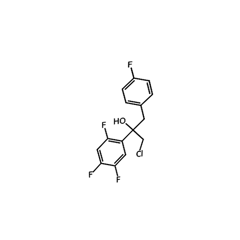 OC(CCl)(Cc1ccc(F)cc1)c1cc(F)c(F)cc1F